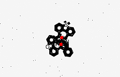 CN1C(c2cccc3c2-c2c(-c4ccccc4)cccc2S3(C)C)=NC(c2ccccc2)NC1c1cccc2oc3cccc(-c4ccccc4)c3c12